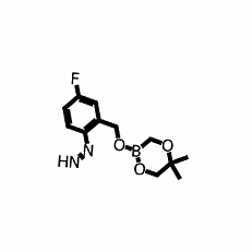 CC1(C)COB(OCc2cc(F)ccc2N=N)CO1